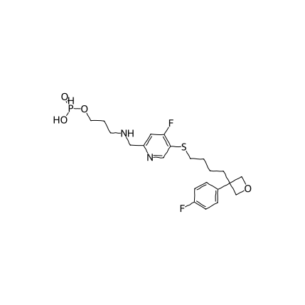 O=[PH](O)OCCCNCc1cc(F)c(SCCCCC2(c3ccc(F)cc3)COC2)cn1